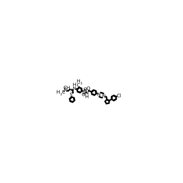 Cc1cc(S(=O)(=O)NC(=O)c2ccc(N3CCN(CC4=C(c5ccc(Cl)cc5)CCC4)CC3)cc2)ccc1N[C@H](CCN(C)C)CSc1ccccc1